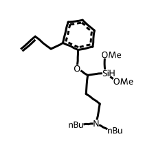 C=CCc1ccccc1OC(CCN(CCCC)CCCC)[SiH](OC)OC